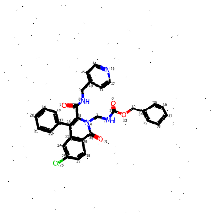 O=C(NCn1c(C(=O)NCc2ccncc2)c(-c2ccccc2)c2cc(Cl)ccc2c1=O)OCc1ccccc1